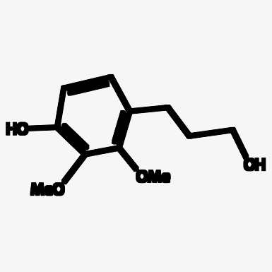 COc1c(O)ccc(CCCO)c1OC